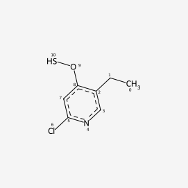 CCc1cnc(Cl)cc1OS